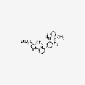 CCOC(=O)c1cnn(-c2cccc(-c3cccc(-n4ncc5c4C(C)(C)CC5)c3)n2)c1C(F)(F)F